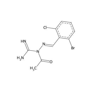 CC(=O)N(/N=C/c1c(Cl)cccc1Br)C(=N)N